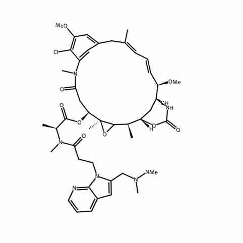 CNN(C)Cc1cc2cccnc2n1CCC(=O)N(C)[C@@H](C)C(=O)O[C@H]1CC(=O)N(C)c2cc(cc(OC)c2Cl)C/C(C)=C/C=C/[C@@H](OC)[C@@]2(O)C[C@H](OC(=O)N2)[C@@H](C)C2O[C@]21C